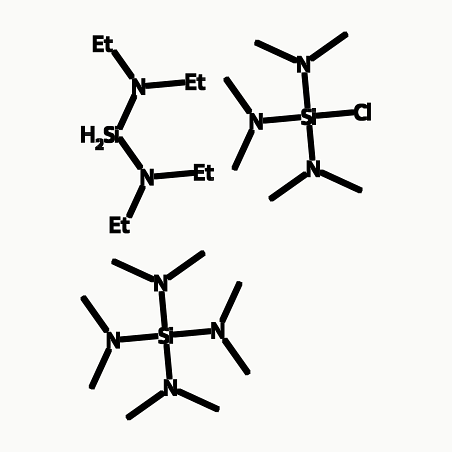 CCN(CC)[SiH2]N(CC)CC.CN(C)[Si](Cl)(N(C)C)N(C)C.CN(C)[Si](N(C)C)(N(C)C)N(C)C